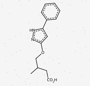 CC(COc1cc(-c2ccccc2)[nH]n1)CC(=O)O